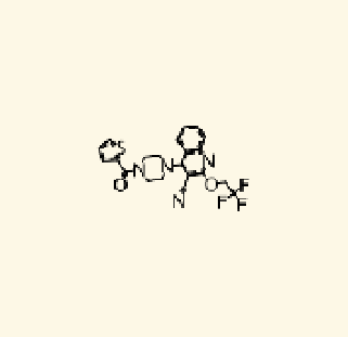 N#Cc1c(OCC(F)(F)F)nc2ccccc2c1N1CCN(C(=O)c2cccs2)CC1